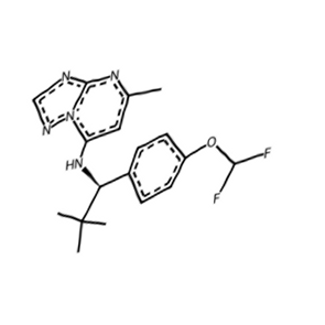 Cc1cc(N[C@@H](c2ccc(OC(F)F)cc2)C(C)(C)C)n2ncnc2n1